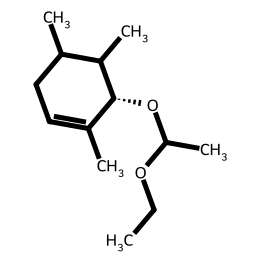 CCOC(C)O[C@@H]1C(C)=CCC(C)C1C